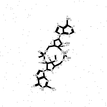 CO[C@H]1[C@H]2OP(C)(=O)OC[C@@]3(C)C[C@@H](n4cnc5c(N)ncnc54)[C@H](O)[C@@H]3OP(=O)(O)OC[C@H]1O[C@H]2n1cnc2c(=O)[nH]c(N)nc21